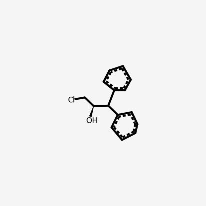 O[C@@H](CCl)C(c1ccccc1)c1ccccc1